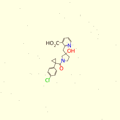 O=C(O)c1cccnc1CC1(O)CCN(C(=O)C2(c3ccc(Cl)cc3)CC2)C1